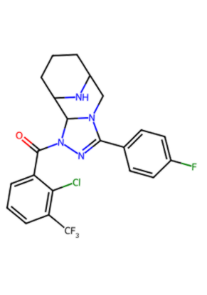 O=C(c1cccc(C(F)(F)F)c1Cl)N1N=C(c2ccc(F)cc2)N2CC3CCCC(N3)C21